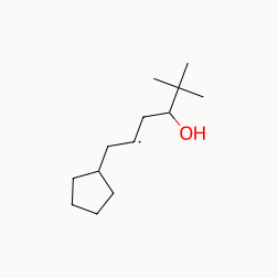 CC(C)(C)C(O)C[CH]CC1CCCC1